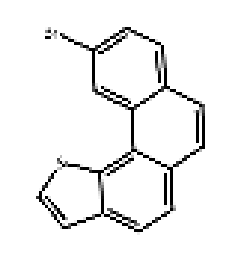 Brc1ccc2ccc3ccc4ccsc4c3c2c1